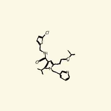 CC(C)OCCc1cc(C(=O)NCc2ccc(Cl)s2)c(C(C)C)n1Cc1cccnc1